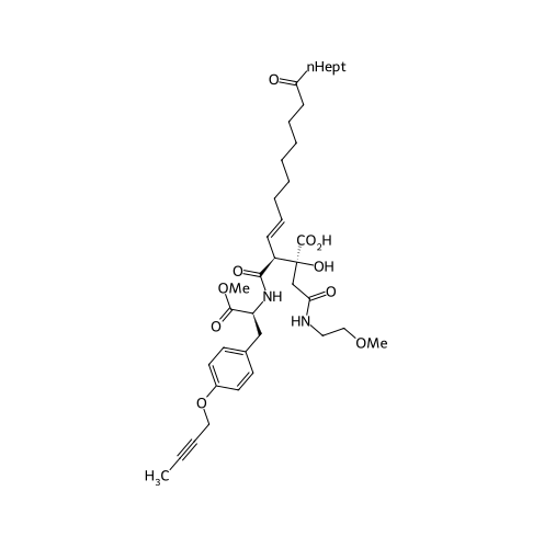 CC#CCOc1ccc(C[C@H](NC(=O)[C@@H](/C=C/CCCCCCC(=O)CCCCCCC)[C@@](O)(CC(=O)NCCOC)C(=O)O)C(=O)OC)cc1